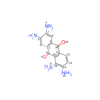 Nc1cc2c(cc1N)C(=O)c1c(ccc(N)c1N)C2=O